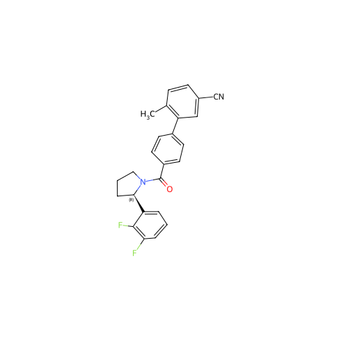 Cc1ccc(C#N)cc1-c1ccc(C(=O)N2CCC[C@@H]2c2cccc(F)c2F)cc1